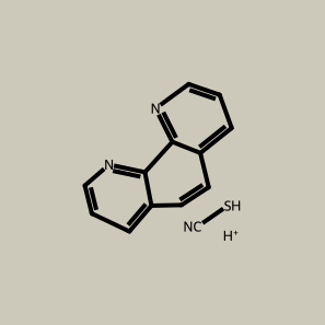 N#CS.[H+].c1cnc2c(c1)ccc1cccnc12